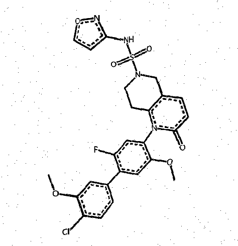 COc1cc(-c2cc(OC)c(-n3c4c(ccc3=O)CN(S(=O)(=O)Nc3ccon3)CC4)cc2F)ccc1Cl